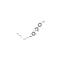 C=CCc1ccc(-c2cnc(-c3ccc(C=CCCCC(C)OCCCCC)c(F)c3F)nc2)cc1